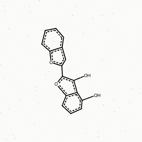 Oc1cccc2oc(-c3cc4ccccc4o3)c(O)c12